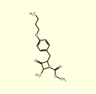 CCCCOc1ccc(CC2C(=O)C(C)N2C(=O)OC)cc1